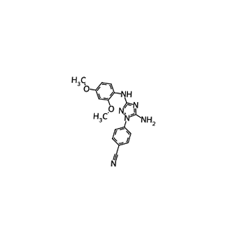 COc1ccc(Nc2nc(N)n(-c3ccc(C#N)cc3)n2)c(OC)c1